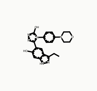 CCc1n[nH]c2cc(O)c(-c3nnc(O)n3-c3ccc(N4CCOCC4)cc3)cc12